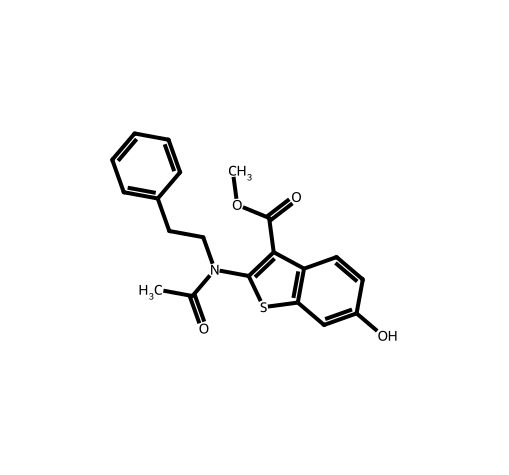 COC(=O)c1c(N(CCc2ccccc2)C(C)=O)sc2cc(O)ccc12